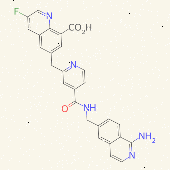 Nc1nccc2cc(CNC(=O)c3ccnc(Cc4cc(C(=O)O)c5ncc(F)cc5c4)c3)ccc12